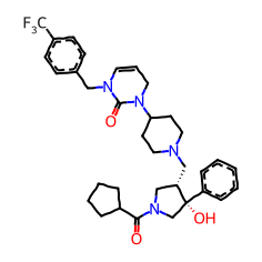 O=C(C1CCCC1)N1C[C@H](CN2CCC(N3CC=CN(Cc4ccc(C(F)(F)F)cc4)C3=O)CC2)[C@@](O)(c2ccccc2)C1